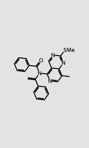 C=C(c1ccccc1)N(C(=O)c1ccccc1)c1ncc(C)c2nc(SC)ncc12